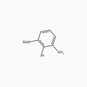 CNc1cccc([SiH3])c1C(C)C